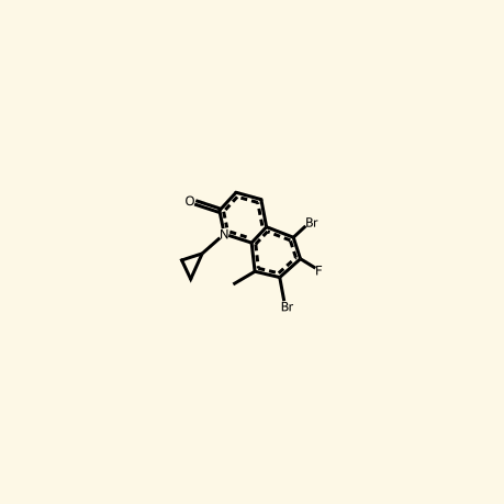 Cc1c(Br)c(F)c(Br)c2ccc(=O)n(C3CC3)c12